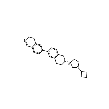 C1=NCCc2cc(-c3ccc4c(c3)CCN([C@@H]3CCN(C5CCC5)C3)C4)ccc21